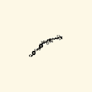 CC(C)(C)OC(=O)CCCCc1cn(CC(=O)NCCc2ccc(OC=COc3ccc(C=O)cc3)cc2)nn1